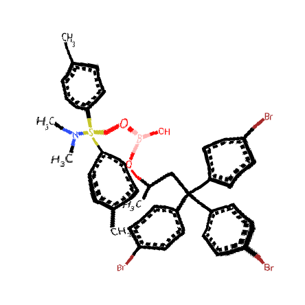 Cc1ccc(S(OB(O)OC(C)CC(c2ccc(Br)cc2)(c2ccc(Br)cc2)c2ccc(Br)cc2)(c2ccc(C)cc2)N(C)C)cc1